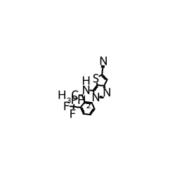 CC(Nc1ncnc2cc(C#N)sc12)c1ccccc1C(F)(F)P